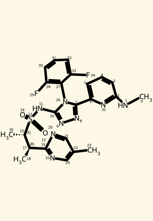 CNc1cccc(-c2nnc(NS(=O)(=O)[C@@H](C)[C@H](C)c3ncc(C)cn3)n2-c2c(F)cccc2F)n1